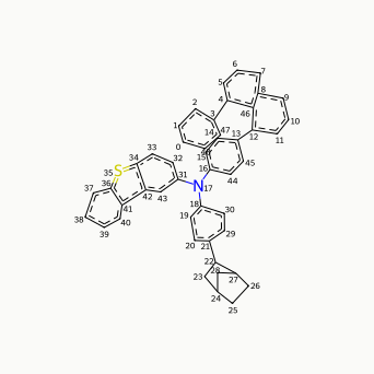 c1ccc(-c2cccc3cccc(-c4ccc(N(c5ccc(C6CC7CCC6C7)cc5)c5ccc6sc7ccccc7c6c5)cc4)c23)cc1